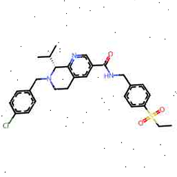 CCS(=O)(=O)c1ccc(CNC(=O)c2cnc3c(c2)CCN(Cc2ccc(Cl)cc2)[C@@H]3C(C)C)cc1